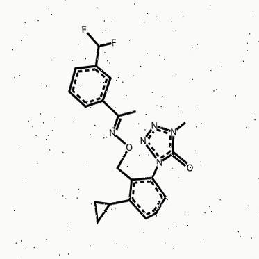 CC(=NOCc1c(C2CC2)cccc1-n1nnn(C)c1=O)c1cccc(C(F)F)c1